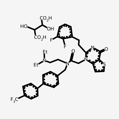 CCN(CC)CCN(Cc1ccc(-c2ccc(C(F)(F)F)cc2)cc1)C(=O)Cn1c(CCc2cccc(F)c2F)nc(=O)c2sccc21.O=C(O)C(O)C(O)C(=O)O